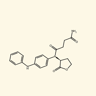 NC(=O)CCC(=O)N(c1ccc(Nc2ccccc2)cc1)[C@H]1CCOC1=O